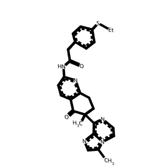 CCSc1ccc(CC(=O)Nc2ccc3c(n2)CCC(C)(c2nccn4c(C)cnc24)C3=O)cc1